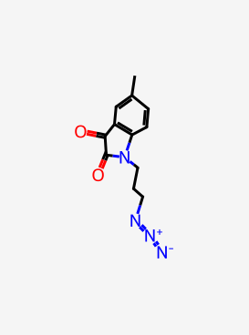 Cc1ccc2c(c1)C(=O)C(=O)N2CCCN=[N+]=[N-]